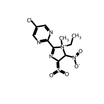 CC[N+]1(C)C(c2ncc(Cl)cn2)=NC(=S(=O)=O)C1[N+](=O)[O-]